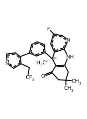 CC1(C)CC(=O)C2=C(C1)Nc1ncc(F)cc1[C@]2(C)c1cccc(-c2ccncc2CC(F)(F)F)c1